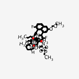 CCCS(C#Cc1c(F)ccc2cc(OCOC)cc(-c3nc4c5c(nc(S(=O)(=O)OCC)nc5c3F)N3C[C@H]5CC[C@@H]([C@H]3CO4)N5C(=O)OO)c12)(CCC)CCC